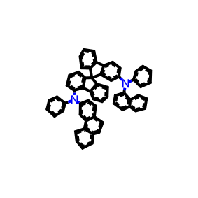 c1ccc(N(c2ccc3ccc4ccccc4c3c2)c2cccc3c2-c2ccccc2C32c3ccccc3-c3ccc(N(c4ccccc4)c4cccc5ccccc45)cc32)cc1